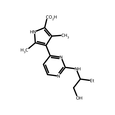 CCC(CO)Nc1nccc(-c2c(C)[nH]c(C(=O)O)c2C)n1